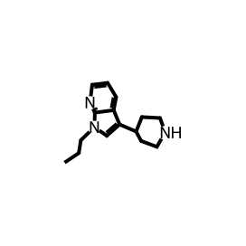 CCCn1cc(C2CCNCC2)c2cccnc21